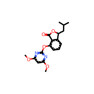 COc1cc(OC)nc(Oc2cccc3c2C(=O)OC3CC(C)C)n1